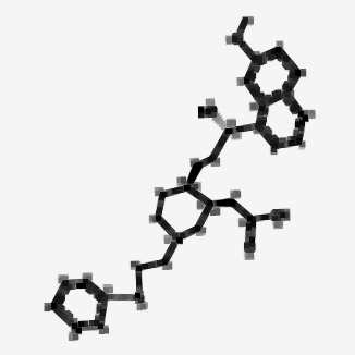 COc1ccc2nccc([C@@H](O)CC[C@@H]3CCN(CCSc4cccnc4)C[C@@H]3CC(=O)O)c2c1